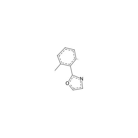 Cc1ccc[c]c1-c1ncco1